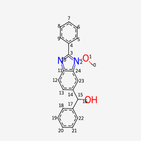 COn1c(-c2ccccc2)nc2ccc(C(O)c3ccccc3)cc21